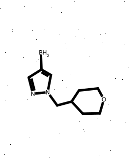 Bc1cnn(CC2CCOCC2)c1